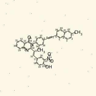 Cc1ccc2cc(C#Cc3ccc(-n4c(/C=C/c5ccc(O)c([N+](=O)[O-])c5)nc5ccccc5c4=O)c(C)c3)ccc2c1